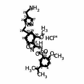 COc1ccc(C(C)C)cc1S(=O)(=O)Nc1noc2cc(Cn3cc(CN)cn3)cc(OC)c12.Cl